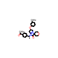 COC(=O)c1ccc([C@H](C)NC(=O)C2(N3CC[C@@H](Oc4cccc(OC)c4)C3)CCOCC2)cc1